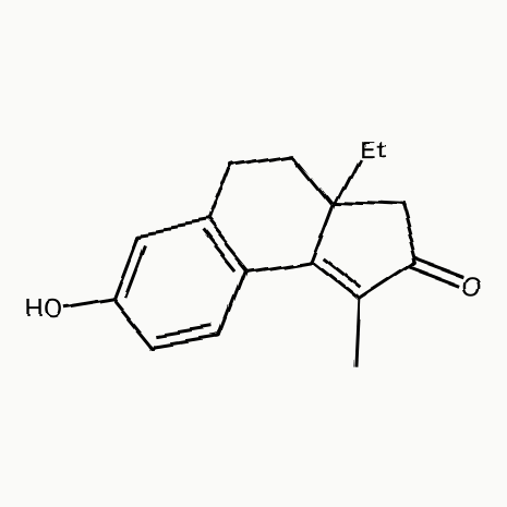 CCC12CCc3cc(O)ccc3C1=C(C)C(=O)C2